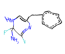 NC1(F)NC=C(Cc2ccccc2)N=C1F